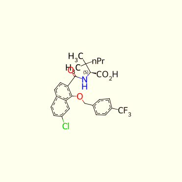 CCCC(C)(C)[C@H](NC(=O)c1ccc2ccc(Cl)cc2c1OCc1ccc(C(F)(F)F)cc1)C(=O)O